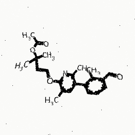 CC(=O)OC(C)(C)CCOc1nc(C)c(-c2cccc(C=O)c2C)cc1C